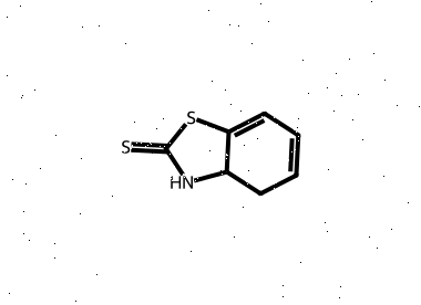 S=C1NC2CC=CC=C2S1